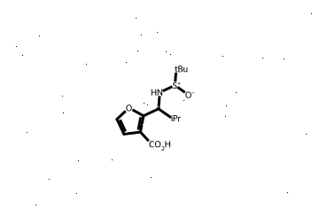 CC(C)C(N[S+]([O-])C(C)(C)C)c1occc1C(=O)O